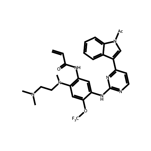 C=CC(=O)Nc1cc(Nc2nccc(-c3cn(C(C)=O)c4ccccc34)n2)c(OC(F)(F)F)cc1N(C)CCN(C)C